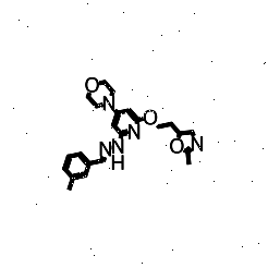 CC1=NCC(CCOc2cc(N3CCOCC3)cc(N/N=C/c3cccc(C)c3)n2)O1